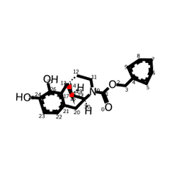 O=C(OCc1ccccc1)N1CC[C@@]23CCCC[C@@H]2[C@@H]1Cc1ccc(O)c(O)c13